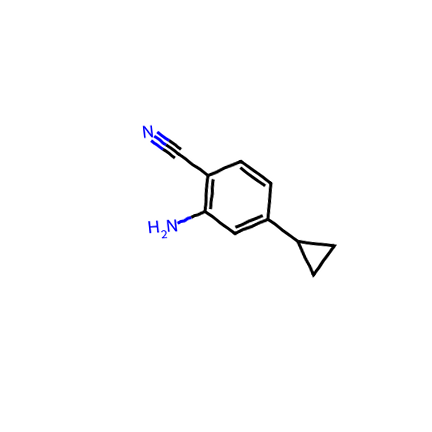 N#Cc1ccc(C2CC2)cc1N